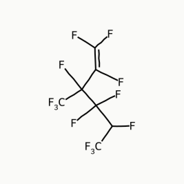 FC(F)=C(F)C(F)(C(F)(F)F)C(F)(F)C(F)C(F)(F)F